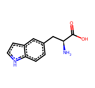 N[C@@H](Cc1ccc2[nH]ccc2c1)C(=O)O